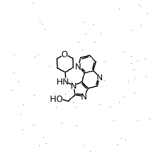 OCc1nc2cnc3cccnc3c2n1NC1CCOCC1